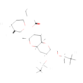 C=C1[C@H](C)C[C@H](CCC)O[C@@H]1C[C@@H]1O[C@H]2C[C@@H](O[Si](C)(C)C(C)(C)C)[C@@H](CO[Si](C)(C)C(C)(C)C)O[C@H]2[C@H](C)[C@H]1OC(C)=O